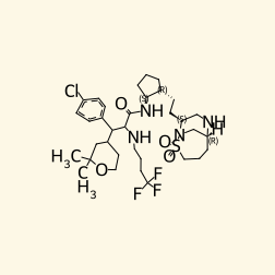 CC1(C)CC(C(c2ccc(Cl)cc2)C(NCCCC(F)(F)F)C(=O)N[C@H]2CCC[C@@H]2CC[C@H]2CN[C@@H]3CCCS(=O)(=O)N2C3)CCO1